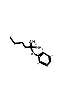 CCCCC(N)(N)Oc1ccccc1